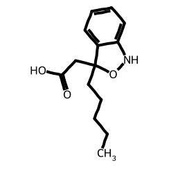 CCCCCC1(CC(=O)O)ONc2ccccc21